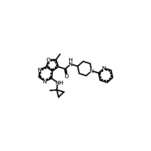 Cc1oc2ncnc(NC3(C)CC3)c2c1C(=O)NC1CCN(c2ccccn2)CC1